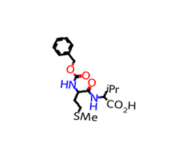 CSCCC(NC(=O)OCc1ccccc1)C(=O)NC(C(=O)O)C(C)C